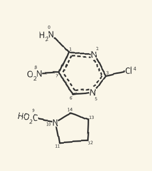 Nc1nc(Cl)ncc1[N+](=O)[O-].O=C(O)N1CCCC1